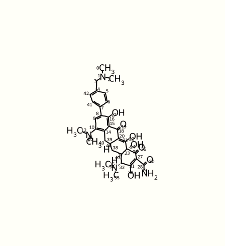 CN(C)Cc1ccc(-c2cc(N(C)C)c3c(c2O)C(=O)C2=C(O)[C@@]4(O)C(=O)C(C(N)=O)=C(O)[C@H](N(C)C)[C@H]4C[C@H]2C3)cc1